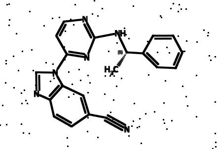 C[C@H](Nc1nccc(-n2cnc3ccc(C#N)cc32)n1)c1ccccc1